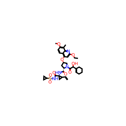 C=CC1C[C@]1(NC(=O)[C@@H]1C[C@@H](Oc2cc(OCC)nc3c(C)c(OC)ccc23)CN1C(=O)C(O)C1=CCCCC1)C(=O)NS(=O)(=O)C1CC1